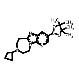 CC1(C)OB(c2cnc3c(c2)nc2n3CCN(C3CCC3)CC2)OC1(C)C